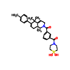 CC1(C)C(c2ccc(C(=O)O)cc2)=CC[C@]2(C)CN(C(=O)c3cccc(C(=O)N4CCS(O)(O)CC4)c3)CC=C12